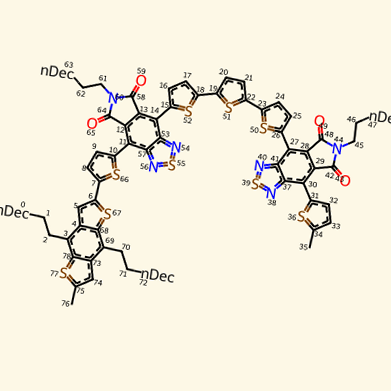 CCCCCCCCCCCCc1c2cc(-c3ccc(-c4c5c(c(-c6ccc(-c7ccc(-c8ccc(-c9c%10c(c(-c%11ccc(C)s%11)c%11nsnc9%11)C(=O)N(CCCCCCCCCCCC)C%10=O)s8)s7)s6)c6nsnc46)C(=O)N(CCCCCCCCCCCC)C5=O)s3)sc2c(CCCCCCCCCCCC)c2cc(C)sc12